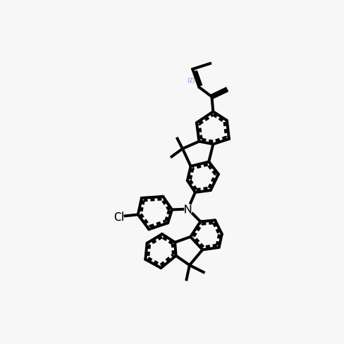 C=C(/C=C\C)c1ccc2c(c1)C(C)(C)c1cc(N(c3ccc(Cl)cc3)c3cccc4c3-c3ccccc3C4(C)C)ccc1-2